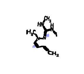 C=C/C=C\N(C)/N=C(\NC)NI